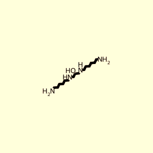 NCCCCCCNCC(O)CNCCCCCCN